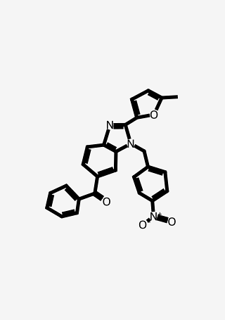 Cc1ccc(-c2nc3ccc(C(=O)c4ccccc4)cc3n2Cc2ccc([N+](=O)[O-])cc2)o1